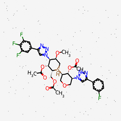 CO[C@H]1C[SH]([C@@H]2COC[C@H](n3cc(-c4cccc(F)c4)nn3)[C@H]2OC(C)=O)[C@H](COC(C)=O)[C@H](OC(C)=O)[C@H]1n1cc(-c2cc(F)c(F)c(F)c2)nn1